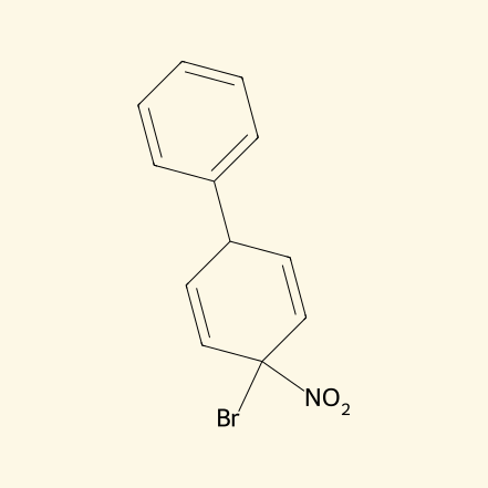 O=[N+]([O-])C1(Br)C=CC(c2ccccc2)C=C1